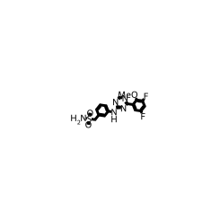 COc1c(F)cc(F)cc1-c1ncnc(Nc2cccc(CS(N)(=O)=O)c2)n1